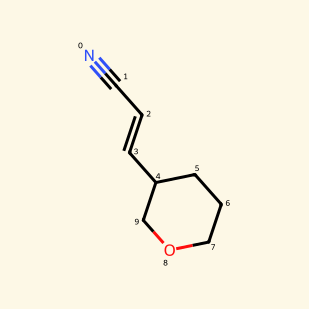 N#CC=CC1CCCOC1